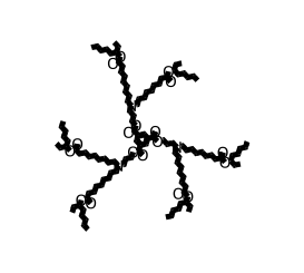 CCCCCC(CC)OC(=O)CCCCCCCCN(CCCCCCCCC(=O)OC(CC)CCCCC)CCCOC(=O)c1cc(C(=O)OCCCN(CCCCCCCCC(=O)OC(CC)CCCCC)CCCCCCCCC(=O)OC(CC)CCCCC)cc(C(=O)OCCCN(CCCCCCCCC(=O)OC(CC)CCCCC)CCCCCCCCC(=O)OC(CC)CCCCC)c1